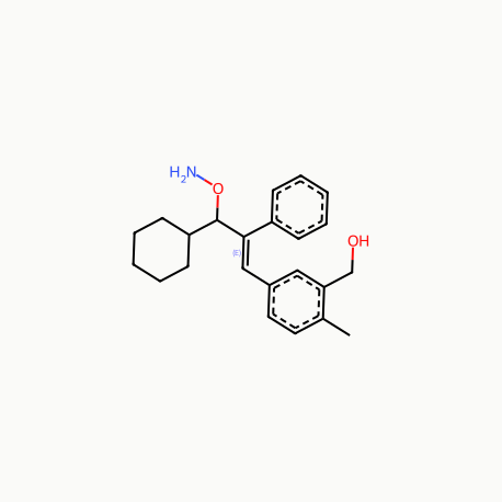 Cc1ccc(/C=C(\c2ccccc2)C(ON)C2CCCCC2)cc1CO